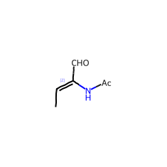 C/C=C(/C=O)NC(C)=O